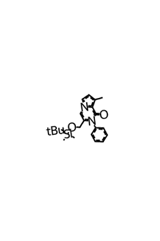 Cc1ccn2cc(CO[Si](C)(C)C(C)(C)C)n(-c3ccccc3)c(=O)c12